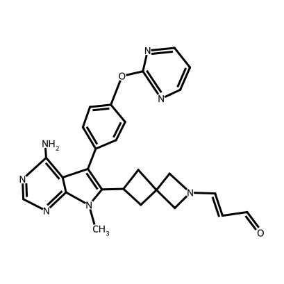 Cn1c(C2CC3(C2)CN(C=CC=O)C3)c(-c2ccc(Oc3ncccn3)cc2)c2c(N)ncnc21